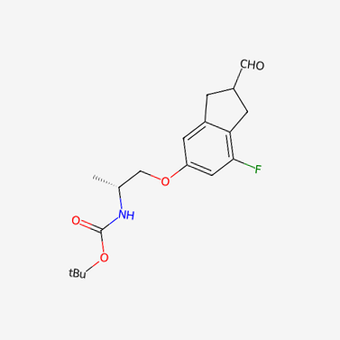 C[C@H](COc1cc(F)c2c(c1)CC(C=O)C2)NC(=O)OC(C)(C)C